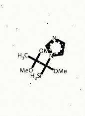 COC(C)(OC)C([SiH3])(OC)n1ccnc1